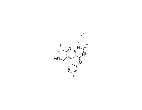 CCCCn1c(=O)[nH]c(=O)c2c(-c3ccc(F)cc3)c(CO)c(C(C)C)nc21